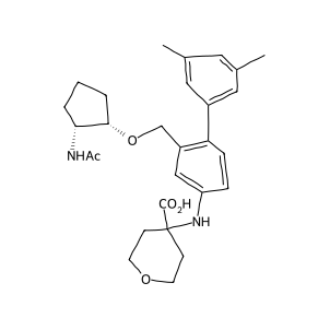 CC(=O)N[C@@H]1CCC[C@@H]1OCc1cc(NC2(C(=O)O)CCOCC2)ccc1-c1cc(C)cc(C)c1